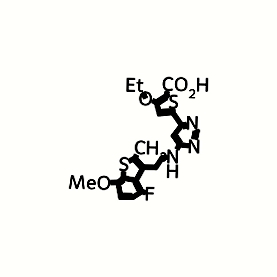 CCOc1cc(-c2cc(NCCc3c(C)sc4c(OC)ccc(F)c34)ncn2)sc1C(=O)O